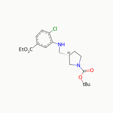 CCOC(=O)c1ccc(Cl)c(NC[C@@H]2CCN(C(=O)OC(C)(C)C)C2)c1